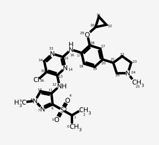 CC(C)S(=O)(=O)c1nn(C)cc1Nc1nc(Nc2ccc(C3CCN(C)C3)cc2OC2CC2)ncc1Cl